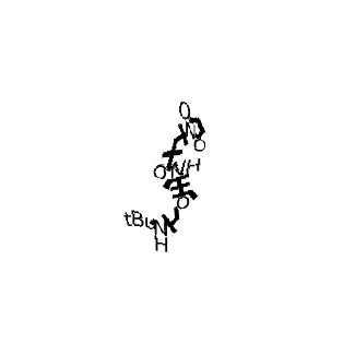 C=CC(C)(NC(=O)C(C)(C)CC(C)(C)N1C(=O)C=CC1=O)C(C)(C)C(C)(C=C)OCCC(C)(C)NC(C)(C)C